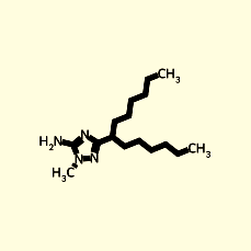 CCCCCCC(CCCCCC)c1nc(N)n(C)n1